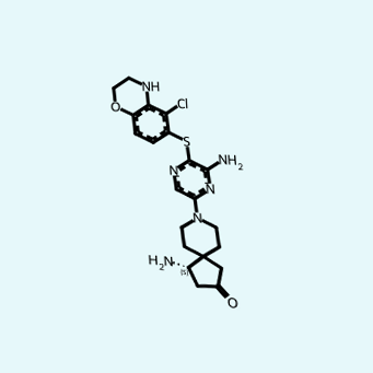 Nc1nc(N2CCC3(CC2)CC(=O)C[C@@H]3N)cnc1Sc1ccc2c(c1Cl)NCCO2